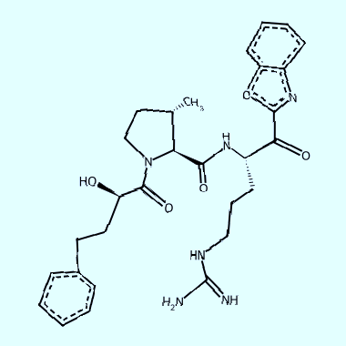 C[C@H]1CCN(C(=O)[C@H](O)CCc2ccccc2)[C@@H]1C(=O)N[C@@H](CCCNC(=N)N)C(=O)c1nc2ccccc2o1